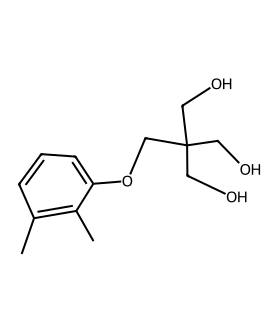 Cc1cccc(OCC(CO)(CO)CO)c1C